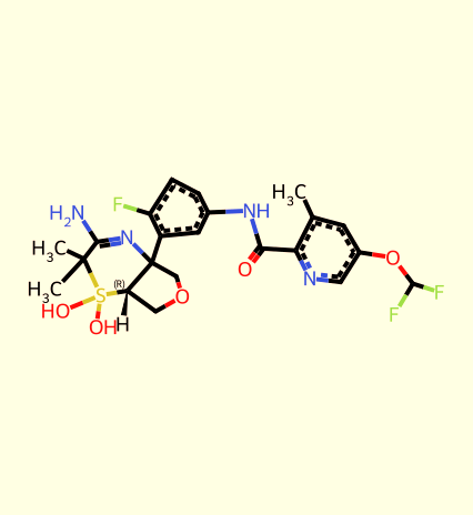 Cc1cc(OC(F)F)cnc1C(=O)Nc1ccc(F)c(C23COC[C@@H]2S(O)(O)C(C)(C)C(N)=N3)c1